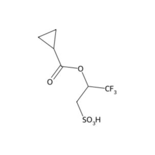 O=C(OC(CS(=O)(=O)O)C(F)(F)F)C1CC1